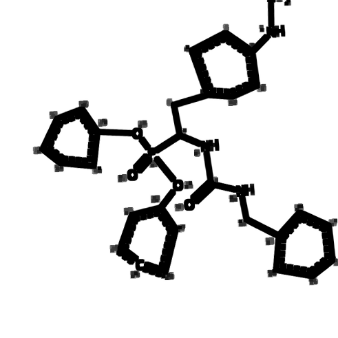 O=C(O)Nc1ccc(CC(NC(=O)NCc2ccccc2)P(=O)(Oc2ccccc2)Oc2ccccc2)cc1